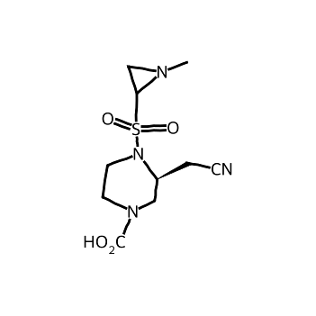 CN1CC1S(=O)(=O)N1CCN(C(=O)O)C[C@@H]1CC#N